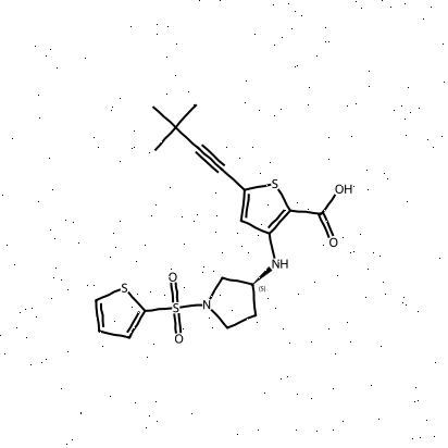 CC(C)(C)C#Cc1cc(N[C@H]2CCN(S(=O)(=O)c3cccs3)C2)c(C(=O)O)s1